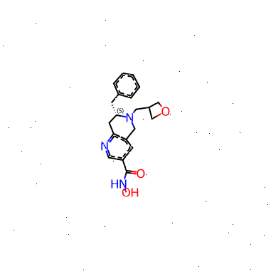 O=C(NO)c1cnc2c(c1)CN(CC1COC1)[C@@H](Cc1ccccc1)C2